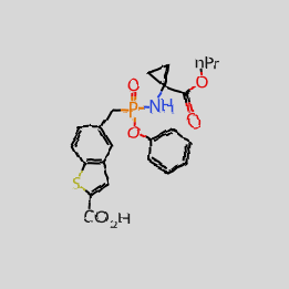 CCCOC(=O)C1(NP(=O)(Cc2ccc3sc(C(=O)O)cc3c2)Oc2ccccc2)CC1